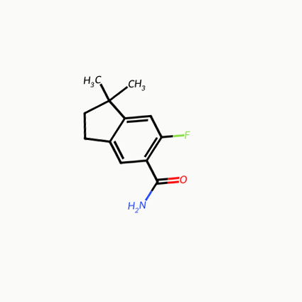 CC1(C)CCc2cc(C(N)=O)c(F)cc21